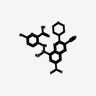 C[C@@H](Nc1ccc(Cl)nc1C(=O)O)c1cc(C(F)F)cc2nc(C#N)c(N3CCOCC3)nc12